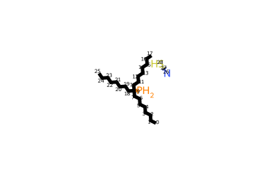 CCCCCCCCC(P)(CCCCCCCC)CCCCCCCC.N#CS